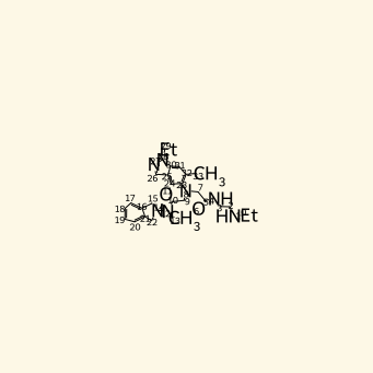 CCNCCNC(=O)CN(CC(=O)N(C)N1Cc2ccccc2C1)c1cc2cnn(CC)c2cc1C